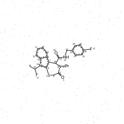 CC(C)N1C(=O)CSc2c(c3ccccc3n2C(C)F)C1C(=O)NCc1ccc(F)cc1